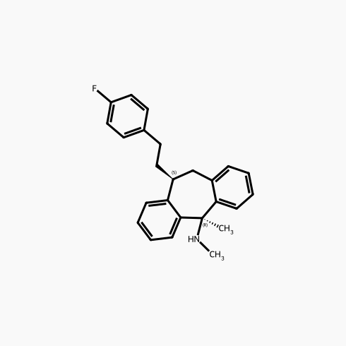 CN[C@]1(C)c2ccccc2C[C@H](CCc2ccc(F)cc2)c2ccccc21